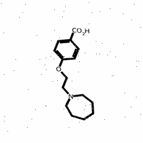 O=C(O)c1ccc(OCCN2CCCCCC2)cc1